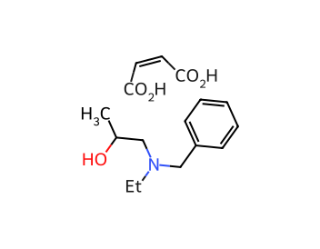 CCN(Cc1ccccc1)CC(C)O.O=C(O)/C=C\C(=O)O